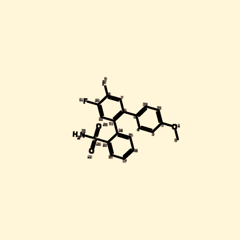 COc1ccc(-c2cc(F)c(F)cc2-c2ccccc2S(N)(=O)=O)cc1